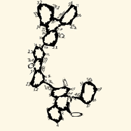 O=c1c2ccccc2c2cc(-c3ccc4oc5ccc(-c6ccc7c8ccccc8c8ccccc8c7c6)cc5c4c3)ccc2n1-c1ccccc1